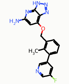 Cc1c(COc2cc(N)nc3[nH]nnc23)cccc1-c1cncc(F)c1